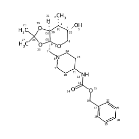 C[C@@H]1[C@H](O)CO[C@@]2(CN3CCC(NC(=O)OCc4ccccc4)CC3)OC(C)(C)O[C@@H]12